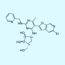 CCc1cc2cc(-c3c(C)nc(NCc4ccccn4)nc3N[C@@H]3C[C@H](CO)[C@@H](O)[C@H]3O)oc2cn1